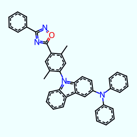 Cc1cc(-n2c3ccccc3c3cc(N(c4ccccc4)c4ccccc4)ccc32)c(C)cc1-c1nc(-c2ccccc2)no1